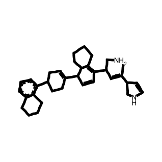 C/C(=C\C(CN)C1=C2CCCCC2C(C2=CCC(c3cccc4c3CCCC4)CC2)C=C1)C1C=CNC1